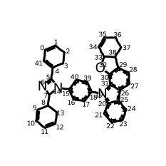 C1=CCCC(C2=NC(C3C=CC=CC3)N2c2ccc(-n3c4ccccc4c4ccc5c(c43)OC3C=CCCC53)cc2)=C1